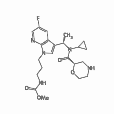 COC(=O)NCCCn1cc([C@@H](C)N(C(=O)[C@H]2CNCCO2)C2CC2)c2cc(F)cnc21